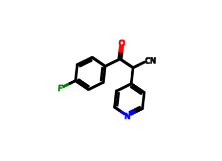 N#CC(C(=O)c1ccc(F)cc1)c1ccncc1